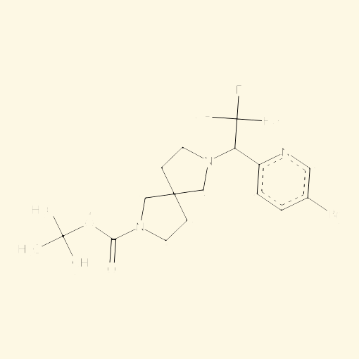 CC(C)(C)OC(=O)N1CCC2(CCN(C(c3ccc(Br)cn3)C(F)(F)F)C2)C1